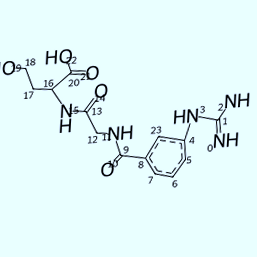 N=C(N)Nc1cccc(C(=O)NCC(=O)NC(CCO)C(=O)O)c1